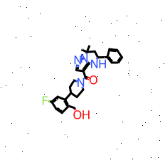 CC1(C)CC(c2ccccc2)Nc2c(C(=O)N3CCC(c4cc(F)ccc4CO)CC3)cnn21